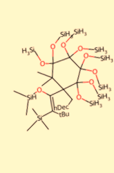 CCCCCCCCCCCC1(C(O[SiH](C)C)=C(C(C)(C)C)[Si](C)(C)C)C(C)(C)C(O[SiH3])(O[SiH3])C(O[SiH3])(O[SiH3])C(O[SiH3])(O[SiH3])C1(O[SiH3])O[SiH3]